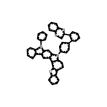 c1ccc(-n2c3ccccc3c3cc4c5c6oc7ccccc7c6ccc5n(-c5ccc(-c6ccccc6-c6cnc7ccccc7n6)cc5)c4cc32)cc1